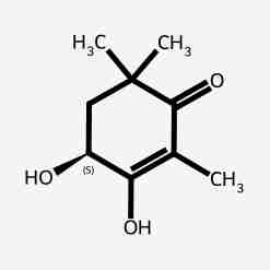 CC1=C(O)[C@@H](O)CC(C)(C)C1=O